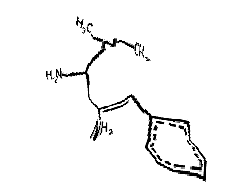 CN(C)C(N)/C(N)=C/c1ccccc1